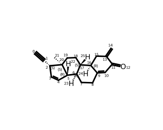 C#C[C@H]1C=C[C@H]2[C@@H]3CCC4=CC(=O)C(=C)C[C@@H]4[C@H]3CC[C@]12C